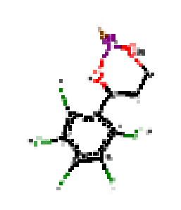 Fc1c(F)c(F)c(C2CCO[PH](=S)O2)c(F)c1F